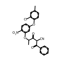 Cc1ccc(Oc2ccc([N+](=O)[O-])c(OC(C)C(=O)C(C#N)C(=O)c3ccccc3)c2)c(Cl)c1